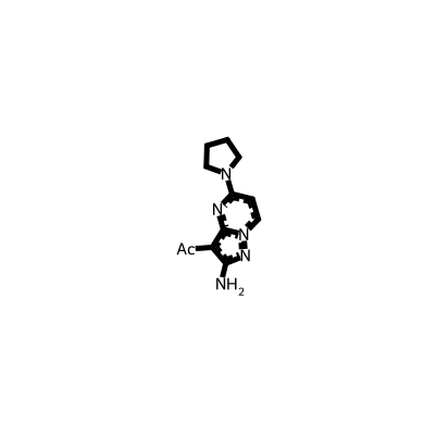 CC(=O)c1c(N)nn2ccc(N3CCCC3)nc12